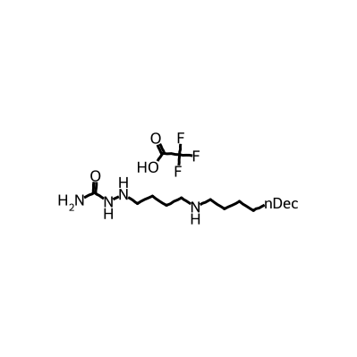 CCCCCCCCCCCCCCNCCCCNNC(N)=O.O=C(O)C(F)(F)F